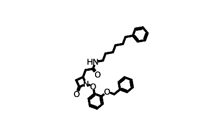 O=C(CC1CC(=O)N1Oc1ccccc1OCc1ccccc1)NCCCCCCc1ccccc1